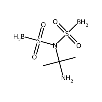 BS(=O)(=O)N(C(C)(C)N)S(B)(=O)=O